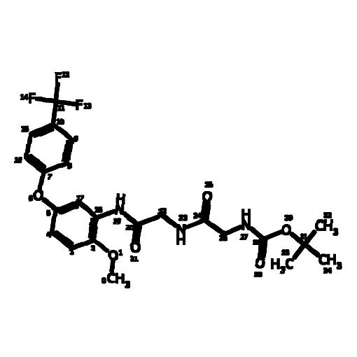 COc1ccc(Oc2ccc(C(F)(F)F)cc2)cc1NC(=O)CNC(=O)CNC(=O)OC(C)(C)C